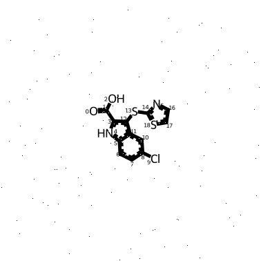 O=C(O)c1[nH]c2ccc(Cl)cc2c1Sc1nccs1